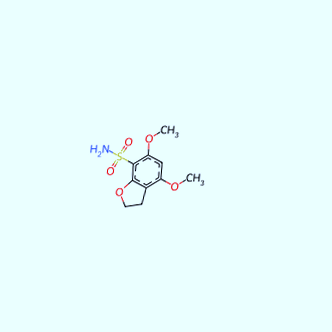 COc1cc(OC)c(S(N)(=O)=O)c2c1CCO2